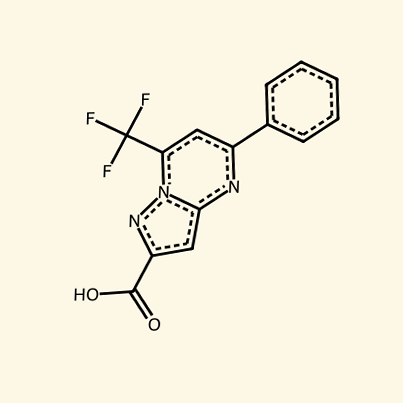 O=C(O)c1cc2nc(-c3ccccc3)cc(C(F)(F)F)n2n1